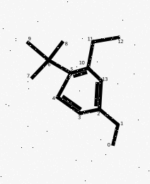 CCc1ccc(C(C)(C)C)c(CC)c1